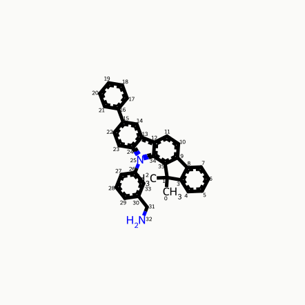 CC1(C)c2ccccc2-c2ccc3c4cc(-c5ccccc5)ccc4n(-c4cccc(CN)c4)c3c21